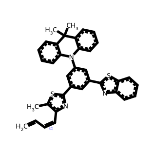 C=C/C=C\c1nc(-c2cc(-c3nc4ccccc4s3)cc(N3c4ccccc4C(C)(C)c4ccccc43)c2)sc1C